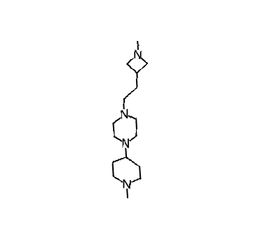 CN1CCC(N2CCN(CCC3CN(C)C3)CC2)CC1